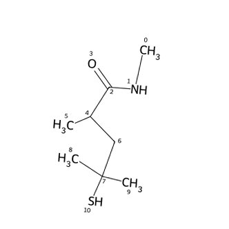 CNC(=O)C(C)CC(C)(C)S